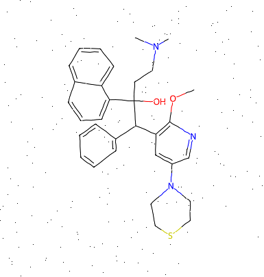 COc1ncc(N2CCSCC2)cc1C(c1ccccc1)C(O)(CCN(C)C)c1cccc2ccccc12